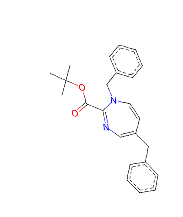 CC(C)(C)OC(=O)C1=NC=C(Cc2ccccc2)C=CN1Cc1ccccc1